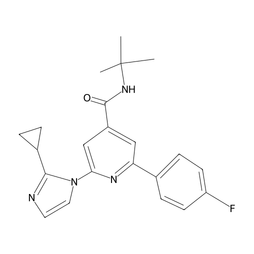 CC(C)(C)NC(=O)c1cc(-c2ccc(F)cc2)nc(-n2ccnc2C2CC2)c1